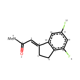 CNC(=O)/C=C1\CCc2c(F)cc(F)cc21